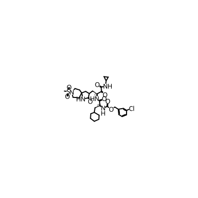 CS(=O)(=O)N1CCC2(CC1)CC(C[C@H](NC(=O)[C@H](CC1CCCCC1)NC(=O)OCc1cccc(Cl)c1)C(=O)C(=O)NC1CC1)C(=O)N2